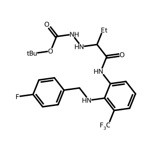 CCC(NNC(=O)OC(C)(C)C)C(=O)Nc1cccc(C(F)(F)F)c1NCc1ccc(F)cc1